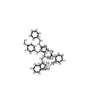 CCc1ccc(Cn2c(CCc3ccccc3)nnc2C(Cc2c[nH]c3ccccc23)NC(=O)c2ccccc2N)cc1